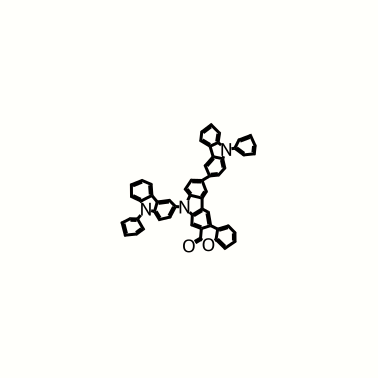 O=c1oc2ccccc2c2cc3c4cc(-c5ccc6c(c5)c5ccccc5n6-c5ccccc5)ccc4n(-c4ccc5c(c4)c4ccccc4n5-c4ccccc4)c3cc12